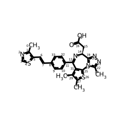 Cc1ncsc1/C=C/c1ccc(C2=N[C@@H](CC(=O)O)c3nnc(C)n3-c3sc(C)c(C)c32)cc1